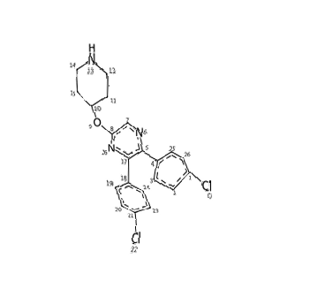 Clc1ccc(-c2ncc(OC3CCNCC3)nc2-c2ccc(Cl)cc2)cc1